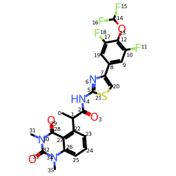 CC(C(=O)Nc1nc(-c2cc(F)c(OC(F)F)c(F)c2)cs1)c1cccc2c1c(=O)n(C)c(=O)n2C